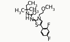 CCC(C)(C)NC(=O)N=c1sc(-c2ccc(F)cc2F)cn1CCOC